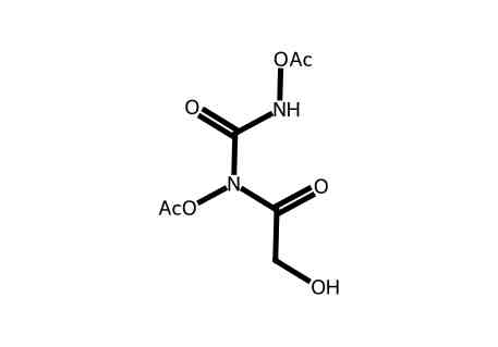 CC(=O)ONC(=O)N(OC(C)=O)C(=O)CO